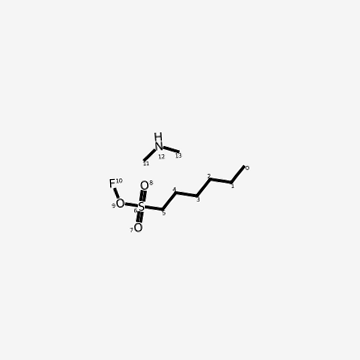 CCCCCCS(=O)(=O)OF.CNC